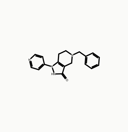 O=c1[nH]n(-c2ccncc2)c2c1CN(Cc1ccccc1)CC2